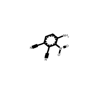 N#Cc1ccc(N)c([N+](=O)[O-])c1C#N